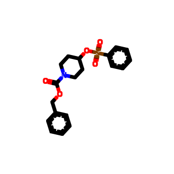 O=C(OCc1ccccc1)N1CCC(OS(=O)(=O)c2ccccc2)CC1